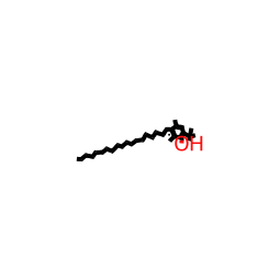 CCCCCCCCCCCCCCCCC[CH]Cc1c(C)cc(C(C)(C)C)c(O)c1C